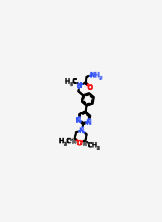 C[C@@H]1CN(c2ncc(-c3cccc(CN(C)C(=O)CN)c3)cn2)C[C@H](C)O1